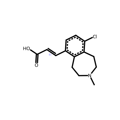 CN1CCc2c(Cl)ccc(/C=C/C(=O)O)c2CC1